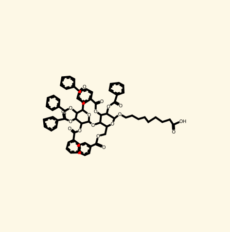 O=C(O)CCCCCCCCOC1OC(COC(=O)c2ccccc2)C(OC2OC(COC(=O)c3ccccc3)C(OC(=O)c3ccccc3)C(OC(=O)c3ccccc3)C2OC(=O)c2ccccc2)C(OC(=O)c2ccccc2)C1OC(=O)c1ccccc1